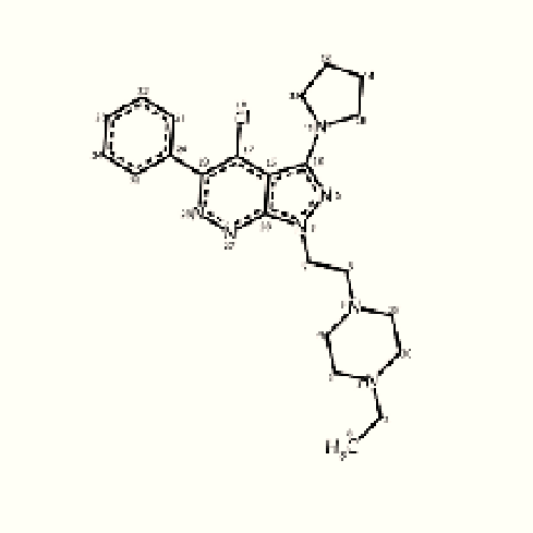 CCN1CCN(CCn2nc(N3CCCC3)c3c(Cl)c(-c4ccccc4)nnc32)CC1